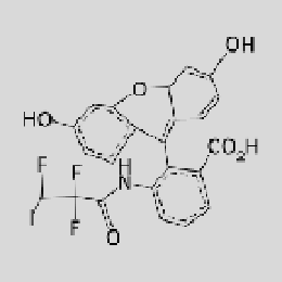 O=C(O)c1cccc(NC(=O)C(F)(F)C(F)I)c1C1=C2C=CC(O)=CC2Oc2cc(O)ccc21